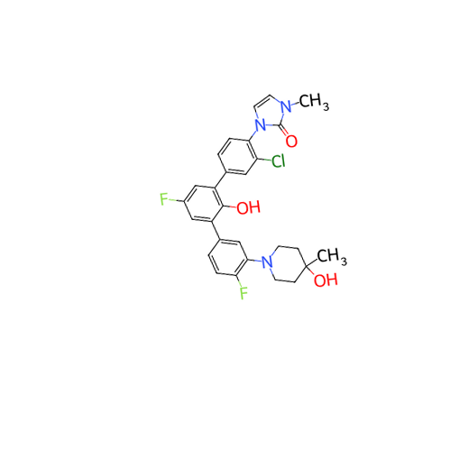 Cn1ccn(-c2ccc(-c3cc(F)cc(-c4ccc(F)c(N5CCC(C)(O)CC5)c4)c3O)cc2Cl)c1=O